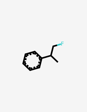 CC(CF)c1ccccc1